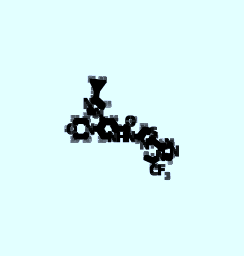 C[C@H](n1cnnc1-c1nc(NC(=O)c2cc(-n3cnc(C4CC4)c3)c(N3CCOCC3)cn2)cs1)C(F)(F)F